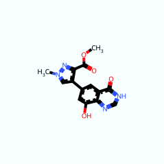 COC(=O)c1nn(C)cc1-c1cc(O)c2nc[nH]c(=O)c2c1